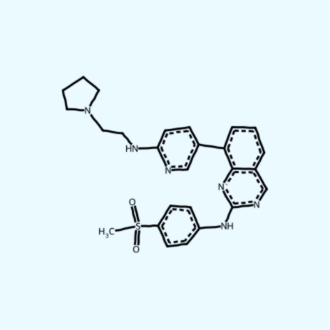 CS(=O)(=O)c1ccc(Nc2ncc3cccc(-c4ccc(NCCN5CCCC5)nc4)c3n2)cc1